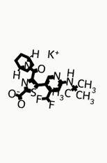 CC(C)(C)Nc1cc(C(F)F)c(-c2sc(C(=O)[O-])nc2C(=O)N2[C@H]3CC[C@H]2CC3)cn1.[K+]